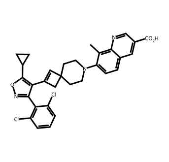 Cc1c(N2CCC3(C=C(c4c(-c5c(Cl)cccc5Cl)noc4C4CC4)C3)CC2)ccc2cc(C(=O)O)cnc12